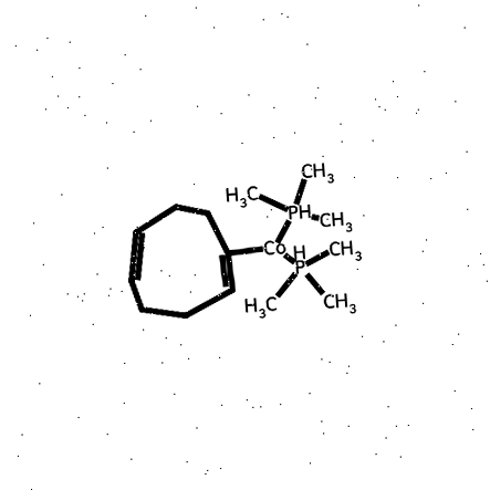 C[PH](C)(C)[Co]([C]1=CCCC=CCC1)[PH](C)(C)C